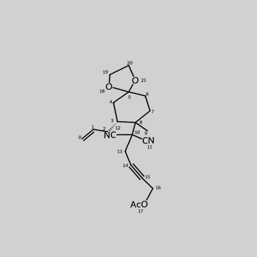 C=CC[C@@H]1CC2(CCC1(C)C(C#N)(C#N)CC#CCOC(C)=O)OCCO2